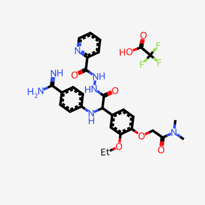 CCOc1cc(C(Nc2ccc(C(=N)N)cc2)C(=O)NNC(=O)c2ccccn2)ccc1OCC(=O)N(C)C.O=C(O)C(F)(F)F